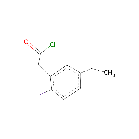 CCc1ccc(I)c(CC(=O)Cl)c1